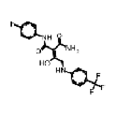 NC(=O)/C(C(=O)Nc1ccc(F)cc1)=C(/O)CNc1ccc(C(F)(F)F)cc1